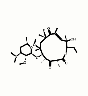 CC[C@H]1OC(=O)[C@H](C)C(=O)[C@H](C)[C@@H](O[C@@H]2O[C@H](C)C[C@H](N(C)C)[C@H]2OC)[C@](C)(OC)C[C@](C)(F)C(=O)/C(C)=C/[C@]1(C)O